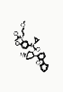 COCCCN1C(=O)COc2ccc(N(C(=O)[C@H]3CNCC[C@@H]3c3cccc4c3oc3ccccc34)C3CC3)cc21